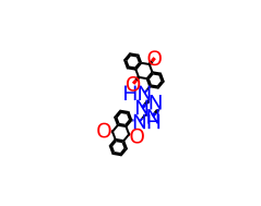 O=C1c2ccccc2C(=O)c2c(Nc3ncnc(Nc4cccc5c4C(=O)c4ccccc4C5=O)n3)cccc21